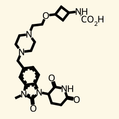 Cn1c(=O)n(C2CCC(=O)NC2=O)c2ccc(CN3CCN(CCOC4CC(NC(=O)O)C4)CC3)cc21